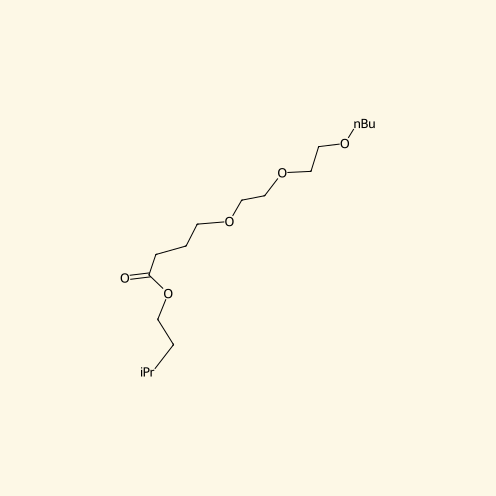 CCCCOCCOCCOCCCC(=O)OCCC(C)C